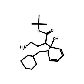 CC(C)(C)OC(=O)C(CCN)C1(O)C=CC=CN1CC1CCCCC1